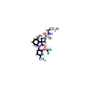 Cc1ccc(NC(=O)C2(c3ccccc3C(C)C)CN(S(=O)(=O)NCC(=O)O)C2)c(OC(F)F)n1